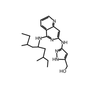 CCC(C)CC(CC(C)CC)Nc1nc(Nc2cc(CO)[nH]n2)cc2ncccc12